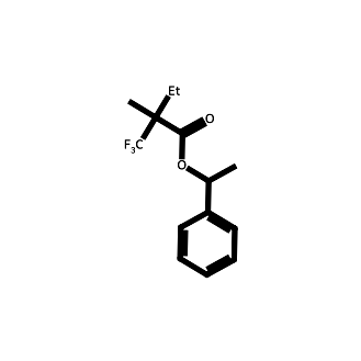 CCC(C)(C(=O)OC(C)c1ccccc1)C(F)(F)F